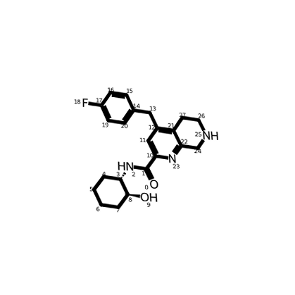 O=C(N[C@H]1CCCC[C@@H]1O)c1cc(Cc2ccc(F)cc2)c2c(n1)CNCC2